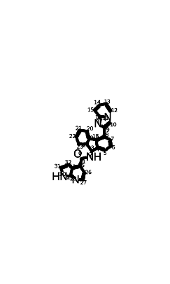 O=C(NC1c2cccc(-c3cn4ccccc4n3)c2C2=CC=CCC21)c1ccnc2[nH]ccc12